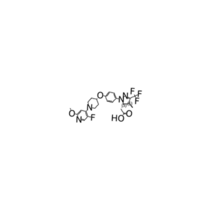 COc1cc(N2CCC(Oc3ccc(N4N=C(C(F)(F)F)[C@@H](C)[C@@H]4CC(=O)O)cc3)CC2)c(F)cn1